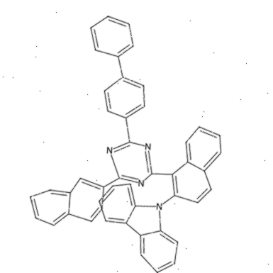 c1ccc(-c2ccc(-c3nc(-c4ccc5ccccc5c4)nc(-c4c(-n5c6ccccc6c6ccccc65)ccc5ccccc45)n3)cc2)cc1